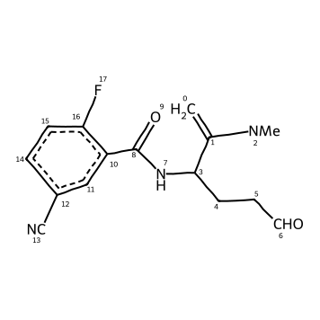 C=C(NC)C(CCC=O)NC(=O)c1cc(C#N)ccc1F